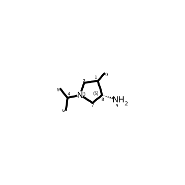 CC1CN(C(C)C)C[C@H]1N